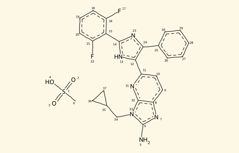 CS(=O)(=O)O.Nc1nc2ccc(-c3[nH]c(-c4c(F)cccc4F)nc3-c3ccccc3)nc2n1CC1CC1